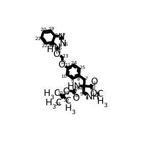 COC(=O)C(C=N)(Cc1ccc(OCON2N=NC3C=CC=C[C@H]32)cc1)NC(=O)OC(C)(C)C